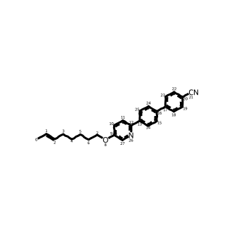 CC=CCCCCCOc1ccc(-c2ccc(-c3ccc(C#N)cc3)cc2)nc1